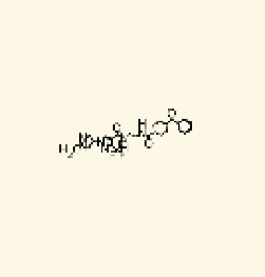 Cn1cc(-n2cc(C(=O)NCCNC(=O)C3CCC(C(=O)c4ccccc4)CC3)c(C(F)(F)F)n2)cn1